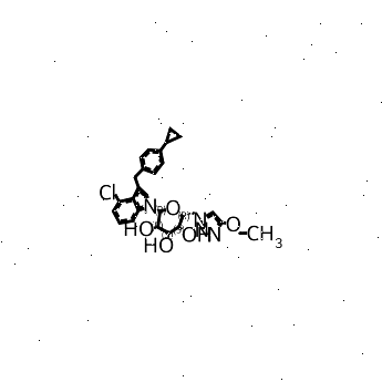 CCOc1cn(C[C@H]2O[C@@H](n3cc(Cc4ccc(C5CC5)cc4)c4c(Cl)cccc43)[C@H](O)[C@@H](O)[C@@H]2O)nn1